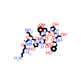 C[C@H](NC(=O)[C@@H](N)CCCCN)C(=O)N[C@@H](CCCCN)C(=O)N1C[C@H](O)C[C@H]1C(=O)N[C@@H](CO)C(=O)N[C@@H](Cc1ccc(O)cc1)C(=O)N1C[C@H](O)C[C@H]1C(=O)N1C[C@H](O)C[C@H]1C(=O)N[C@H](C(=O)N[C@@H](Cc1ccc(O)cc1)C(=O)O)[C@@H](C)O